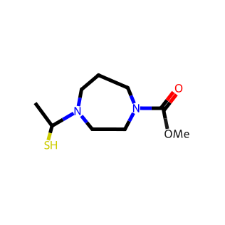 COC(=O)N1CCCN(C(C)S)CC1